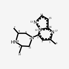 Cc1cc(N2CC(C)NC(C)C2)n2nccc2n1